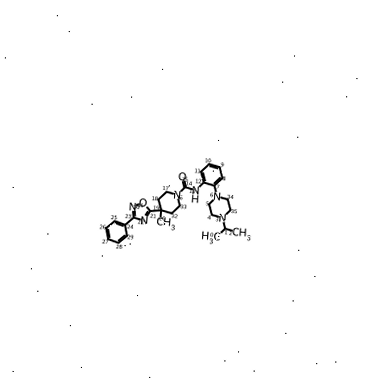 CC(C)N1CCN(c2ccccc2NC(=O)N2CCC(C)(c3nc(-c4ccccc4)no3)CC2)CC1